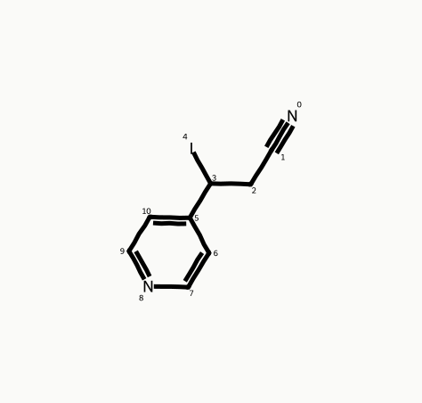 N#CCC(I)c1ccncc1